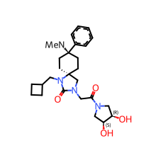 CN[C@]1(c2ccccc2)CC[C@]2(CC1)CN(CC(=O)N1C[C@@H](O)[C@@H](O)C1)C(=O)N2CC1CCC1